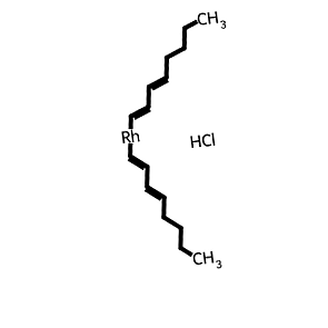 CCCCC=CC=[CH][Rh][CH]=CC=CCCCC.Cl